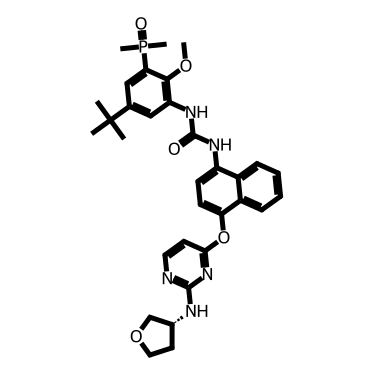 COc1c(NC(=O)Nc2ccc(Oc3ccnc(N[C@@H]4CCOC4)n3)c3ccccc23)cc(C(C)(C)C)cc1P(C)(C)=O